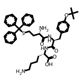 CC(C)(C)Oc1ccc(C[C@H](NC(=O)[C@@H](N)CCSC(c2ccccc2)(c2ccccc2)c2ccccc2)C(=O)N[C@@H](CCCCN)C(=O)O)cc1